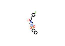 O=C(/C=C/c1ccc(F)cc1)N1CCN(S(=O)(=O)c2ccc3ccccc3c2)CC1